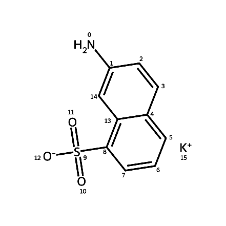 Nc1ccc2cccc(S(=O)(=O)[O-])c2c1.[K+]